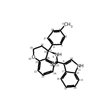 Cc1ccc([C@@]2(NC(=O)c3c[nH]c4ccccc34)CCOc3cccnc32)cc1